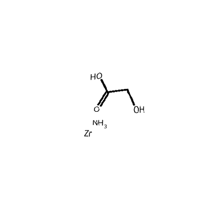 N.O=C(O)CO.[Zr]